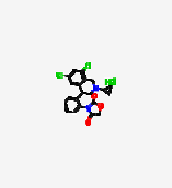 Cl.O=C1COC(=O)N1c1ccccc1C1CN(C2CC2)Cc2c(Cl)cc(Cl)cc21